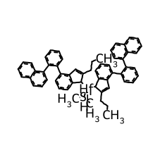 CCCC1=Cc2c(-c3ccccc3-c3cccc4ccccc34)cccc2[CH]1[Hf]([CH]1C(CCC)=Cc2c(-c3ccccc3-c3cccc4ccccc34)cccc21)[SiH](C)C